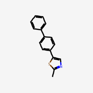 Cc1ncc(-c2ccc(-c3ccccc3)cc2)s1